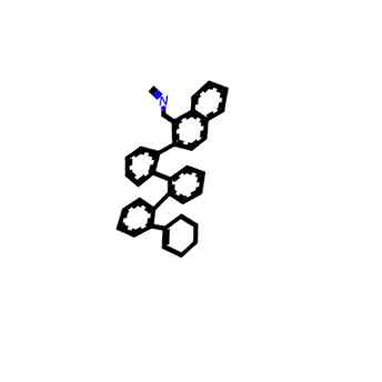 C=NCc1c(-c2ccccc2-c2ccccc2-c2ccccc2C2=CCCCC2)ccc2ccccc12